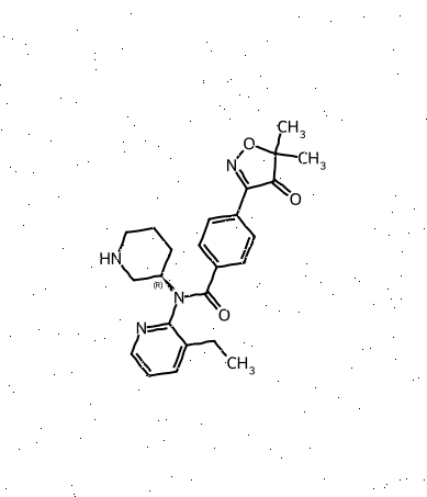 CCc1cccnc1N(C(=O)c1ccc(C2=NOC(C)(C)C2=O)cc1)[C@@H]1CCCNC1